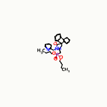 CCCCOP(=O)(CCCC1(C(=O)NCc2ccccn2)c2ccccc2-c2ccccc21)OCCCC